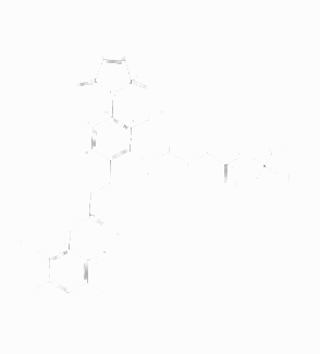 CC(C)(C)OC(=O)CCCOc1c(CCC(=O)Oc2c(F)c(F)cc(F)c2F)ccc(N2C(=O)C=CC2=O)c1F